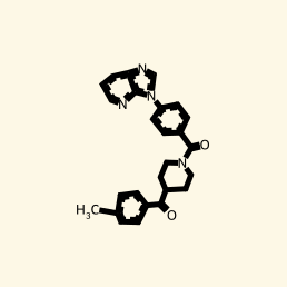 Cc1ccc(C(=O)C2CCN(C(=O)c3ccc(-n4cnc5cccnc54)cc3)CC2)cc1